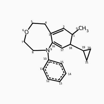 CC1C=C2CCOCCN(c3ccccc3)C2=CC1C1CC1